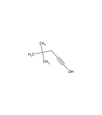 CC(C)(C)CC#CO